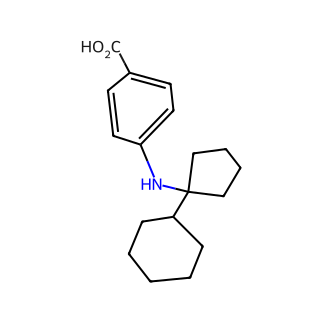 O=C(O)c1ccc(NC2(C3CCCCC3)CCCC2)cc1